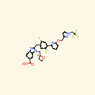 O=C(O)c1ccc2nc(Cc3cc(F)c(-c4cccc(OCc5ccn(CC(F)(F)F)n5)n4)cc3F)n(C[C@@H]3CCO3)c2c1